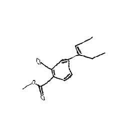 CC=C(CC)c1ccc(C(=O)OC)c(Cl)c1